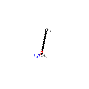 CCCCCCCCCCCCCCCCCCOCC(C)ON